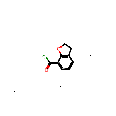 O=C(Cl)c1cccc2c1OCC2